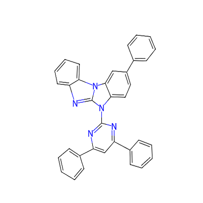 c1ccc(-c2ccc3c(c2)n2c4ccccc4nc2n3-c2nc(-c3ccccc3)cc(-c3ccccc3)n2)cc1